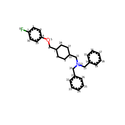 Fc1ccc(OCC2CCC(CN(Cc3ccccc3)Cc3ccccc3)CC2)cc1